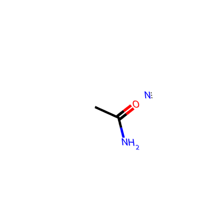 CC(N)=O.[N]